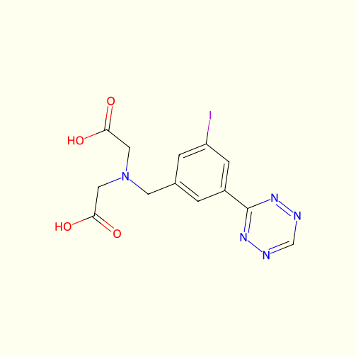 O=C(O)CN(CC(=O)O)Cc1cc(I)cc(-c2nncnn2)c1